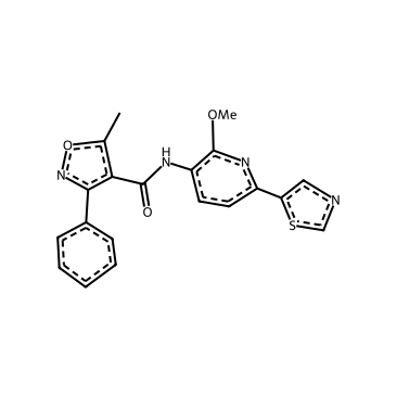 COc1nc(-c2cncs2)ccc1NC(=O)c1c(-c2ccccc2)noc1C